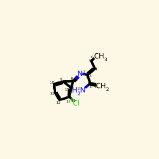 C=C(N)C(=C/CC)/N=c1/c2cccc(Cl)c12